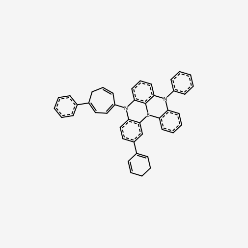 C1=CC(c2ccc3c(c2)B2c4ccccc4N(c4ccccc4)c4cccc(c42)N3C2=CC=C(c3ccccc3)CC=C2)=CCC1